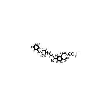 O=C(NCCN1CCN(Cc2ccccc2)CC1)c1ccc2c(c1)CCN(C(=O)O)CC2